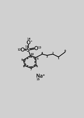 CCCCCc1ccccc1S(=O)(=O)[O-].[Na+]